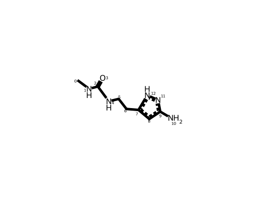 CNC(=O)NCCc1cc(N)n[nH]1